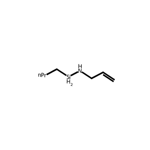 C=CCN[SiH2]CCCC